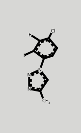 Fc1c(Cl)ccc(-n2cc(C(F)(F)F)nn2)c1I